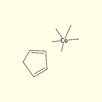 C1=CCC=C1.[CH3][Co]([CH3])([CH3])([CH3])[CH3]